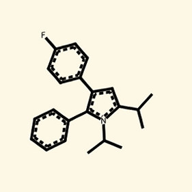 CC(C)c1cc(-c2ccc(F)cc2)c(-c2ccccc2)n1C(C)C